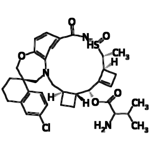 CC(C)C(N)C(=O)O[C@H]1C2=CC[C@@H]2[C@@H](C)/[SH](=O)=N\C(=O)c2ccc3c(c2)N(C[C@@H]2CC[C@H]21)C[C@@]1(CCCc2cc(Cl)ccc21)CO3